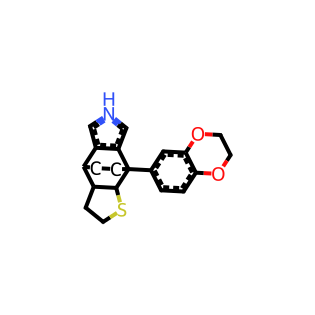 c1cc2c(cc1C13CCC(c4c[nH]cc41)C1CCSC13)OCCO2